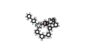 c1ccc(-c2ccc(C3=NC(c4cccc(-c5cccc(-c6cccc(-c7ccc8c(c7)-c7ccccc7C87c8ccccc8Oc8ccccc87)c6)c5)c4)=NC(c4ccccc4)N3)cc2)cc1